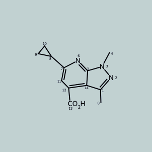 Cc1nn(C)c2nc(C3CC3)cc(C(=O)O)c12